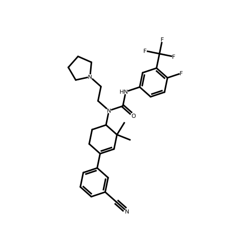 CC1(C)C=C(c2cccc(C#N)c2)CCC1N(CCN1CCCC1)C(=O)Nc1ccc(F)c(C(F)(F)F)c1